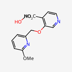 COc1cccc(COc2cnccc2C(=O)O)n1.O=NO